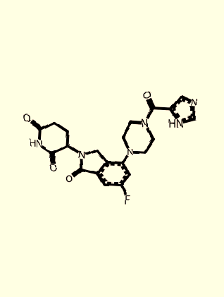 O=C1CCC(N2Cc3c(cc(F)cc3N3CCN(C(=O)c4cnc[nH]4)CC3)C2=O)C(=O)N1